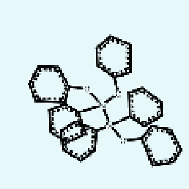 c1ccc(O[Si](Oc2ccccc2)(c2ccccc2)[Si](Oc2ccccc2)(c2ccccc2)c2ccccc2)cc1